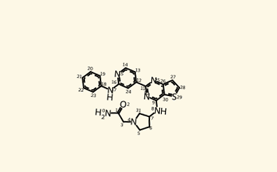 NC(=O)CN1CCC(Nc2nc(-c3ccnc(Nc4ccccc4)c3)nc3ccsc23)C1